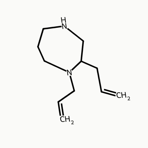 C=CCC1CNCCCN1CC=C